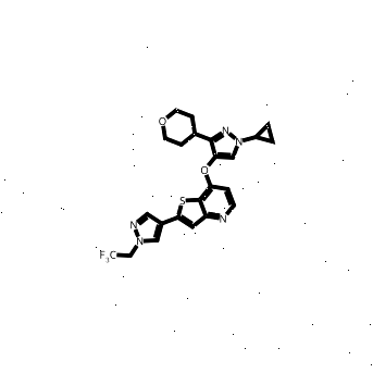 FC(F)(F)Cn1cc(-c2cc3nccc(Oc4cn(C5CC5)nc4C4CCOCC4)c3s2)cn1